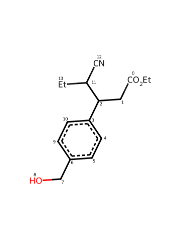 CCOC(=O)CC(c1ccc(CO)cc1)C(C#N)CC